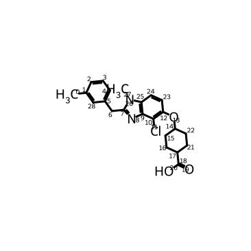 Cc1cccc(Cc2nc3c(Cl)c(OC4CCC(C(=O)O)CC4)ccc3n2C)c1